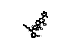 C=CCO/N=C(\C(=O)NC1C(=O)N2C(C(=O)O)=C(CSc3nnnn3C)CS[C@H]12)c1cccc(O)c1